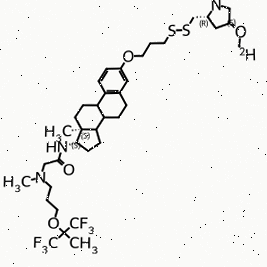 [2H]CO[C@@H]1CN[C@@H](CSSCCCOc2ccc3c(c2)CCC2C3CC[C@@]3(C)C2CC[C@@H]3NC(=O)CN(C)CCCOC(C)(C(F)(F)F)C(F)(F)F)C1